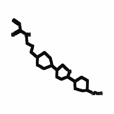 C=CC(=O)NCCCC1CCC(C2CCC(C3CCC(CCCCC)CC3)OC2)CC1